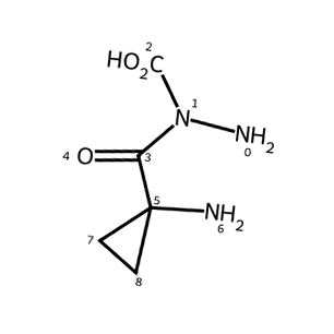 NN(C(=O)O)C(=O)C1(N)CC1